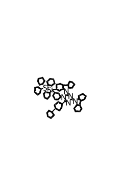 c1ccc(-c2ccc(-c3nc(-n4c5ccccc5c5ccccc54)nc(-n4c5ccccc5c5ccc([Si]6(c7ccccc7)c7ccccc7[Si](c7ccccc7)(c7ccccc7)c7ccccc76)cc54)n3)cc2)cc1